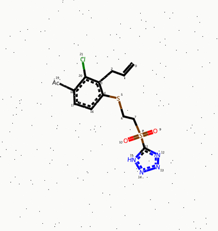 C=CCc1c(SCCS(=O)(=O)c2nnn[nH]2)ccc(C(C)=O)c1Cl